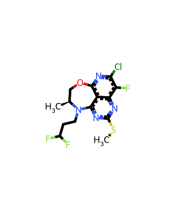 CSc1nc2c3c(nc(Cl)c(F)c3n1)OC[C@H](C)N2CCC(F)F